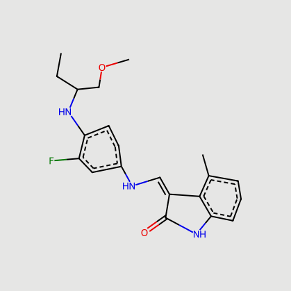 CCC(COC)Nc1ccc(NC=C2C(=O)Nc3cccc(C)c32)cc1F